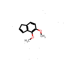 COc1ccc2c(c1OC)C=CC2